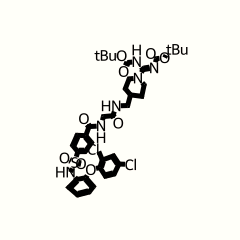 CC(C)(C)OC(=O)/N=C(\NC(=O)OC(C)(C)C)N1CCC(CNC(=O)CNC(=O)c2ccc(S(=O)(=O)Nc3ccccc3Oc3ccc(Cl)cc3Cl)cc2)CC1